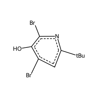 CC(C)(C)c1cc(Br)c(O)c(Br)n1